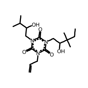 C=CCn1c(=O)n(CC(O)C(C)C)c(=O)n(CC(O)C(C)(C)CC)c1=O